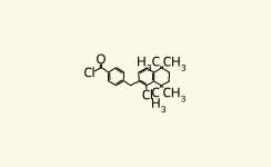 CC1(C)CCC(C)(C)c2c1ccc(Cc1ccc(C(=O)Cl)cc1)c2Cl